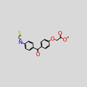 COC(=O)COc1ccc(C(=O)c2ccc(N=C=S)cc2)cc1